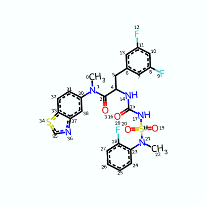 CN(C(=O)C(Cc1cc(F)cc(F)c1)NC(=O)NS(=O)(=O)N(C)c1ccccc1F)c1ccc2scnc2c1